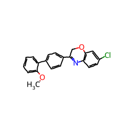 COc1ccccc1-c1ccc(C2=Nc3ccc(Cl)cc3OC2)cc1